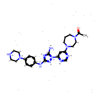 CC(=O)N1CCCN(c2cc(-n3nc(Nc4ccc(N5CCNCC5)cc4)nc3N)ncn2)CC1